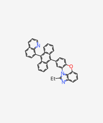 CCc1nc2cccc3c2n1-c1cc(-c2c4ccccc4c(-c4cccc5cccnc45)c4ccccc24)ccc1O3